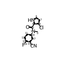 CN(C(=O)c1[nH]ccc1Cl)c1ccc(F)c(C#N)c1